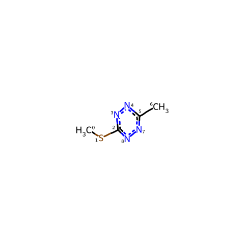 CSc1nnc(C)nn1